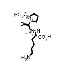 C[C@@H](N[C@@H](CCCCN)C(=O)O)C(=O)N1CCC[C@H]1C(=O)O